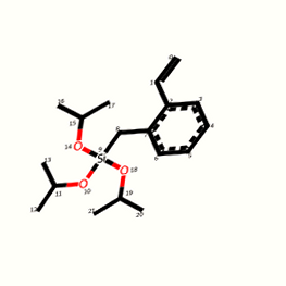 C=Cc1ccccc1C[Si](OC(C)C)(OC(C)C)OC(C)C